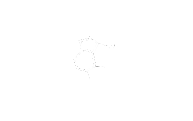 CNc1ncn2ccc(Cl)c(Cl)c12